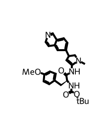 COc1ccc(C[C@H](NC(=O)OC(C)(C)C)C(=O)NC2=CC(c3ccc4cnccc4c3)CN2C)cc1